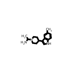 Cc1ccc2[nH]cc(C3CCN(C(C)N)CC3)c2c1